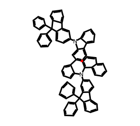 c1ccc(C2(c3ccccc3)c3ccccc3-c3cc(-n4c5ccccc5c5ccc(-c6ccccc6N(c6ccc7c(c6)C(c6ccccc6)(c6ccccc6)c6ccccc6-7)c6cccc7ccccc67)cc54)ccc32)cc1